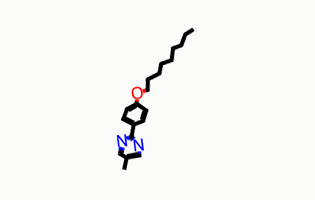 CCCCCCCCCOc1ccc(-c2ncc(C)cn2)cc1